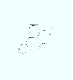 O=[N+]([O-])c1cccc2c1c(Br)cc1onnc12